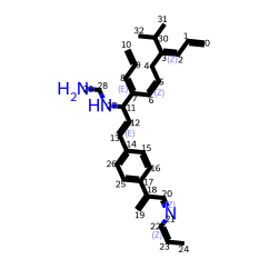 C=C/C=C(/C/C=C\C(=C/C=C)C(/C=C/c1ccc(C(=C)/C=N\C=C/C)cc1)NCN)C(C)C